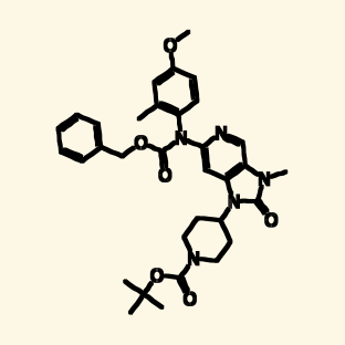 COc1ccc(N(C(=O)OCc2ccccc2)c2cc3c(cn2)n(C)c(=O)n3C2CCN(C(=O)OC(C)(C)C)CC2)c(C)c1